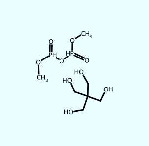 CO[PH](=O)O[PH](=O)OC.OCC(CO)(CO)CO